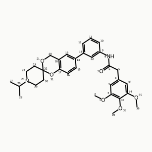 COc1cc(CC(=O)Nc2cccc(-c3ccc4c(c3)COC3(CCN(C(C)C)CC3)O4)c2)cc(OC)c1OC